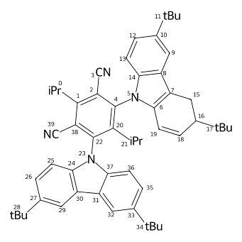 CC(C)c1c(C#N)c(-n2c3c(c4cc(C(C)(C)C)ccc42)CC(C(C)(C)C)C=C3)c(C(C)C)c(-n2c3ccc(C(C)(C)C)cc3c3cc(C(C)(C)C)ccc32)c1C#N